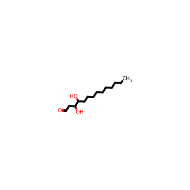 CCCCCCCCCCC(O)C(O)C[C]=O